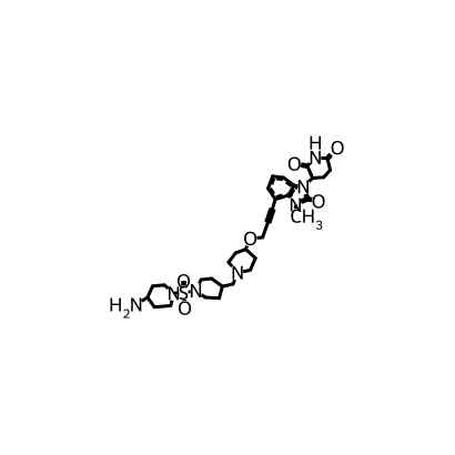 Cn1c(=O)n(C2CCC(=O)NC2=O)c2cccc(C#CCOC3CCN(CC4CCN(S(=O)(=O)N5CCC(N)CC5)CC4)CC3)c21